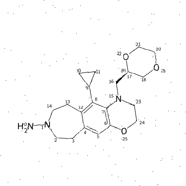 NN1CCc2cc3c(c(C4CC4)c2CC1)N(C[C@@H]1COCCO1)CCO3